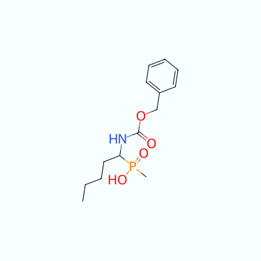 CCCCC(NC(=O)OCc1ccccc1)P(C)(=O)O